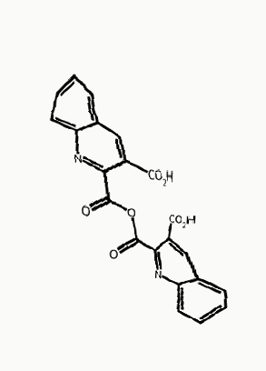 O=C(O)c1cc2ccccc2nc1C(=O)OC(=O)c1nc2ccccc2cc1C(=O)O